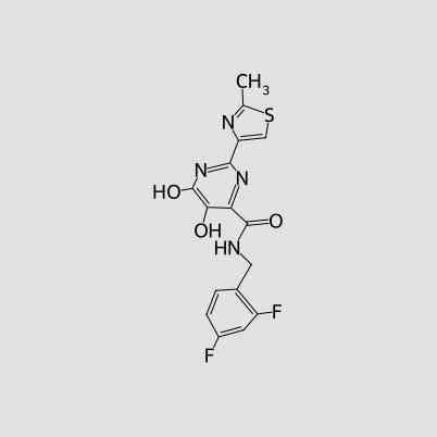 Cc1nc(-c2nc(O)c(O)c(C(=O)NCc3ccc(F)cc3F)n2)cs1